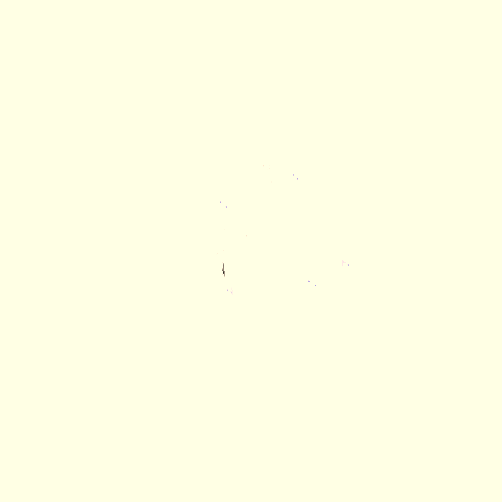 COc1ccc([C@H]2CC2COc2nc(C)ncc2-c2cc(C#N)c(=O)n(C)c2C)nc1